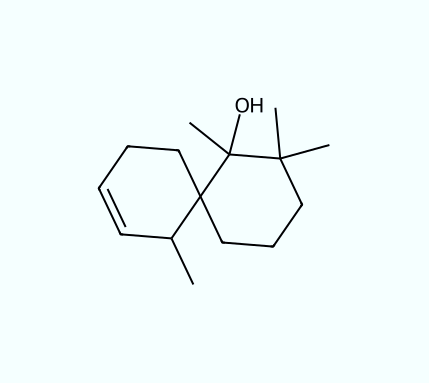 CC1C=CCCC12CCCC(C)(C)C2(C)O